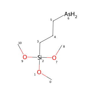 CO[Si](CCC[AsH2])(OC)OC